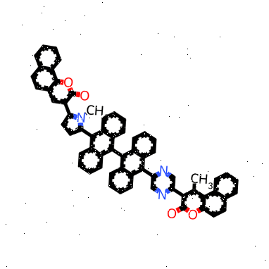 Cc1c(-c2cnc(-c3c4ccccc4c(-c4c5ccccc5c(-c5ccc(-c6cc7ccc8ccccc8c7oc6=O)n5C)c5ccccc45)c4ccccc34)cn2)c(=O)oc2ccc3ccccc3c12